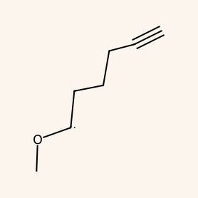 C#CCCC[CH]OC